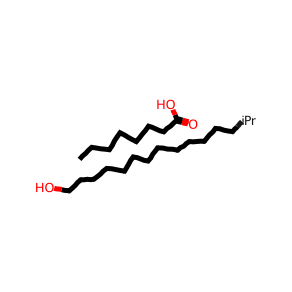 CC(C)CCCCCCCCCCCCCO.CCCCCCCC(=O)O